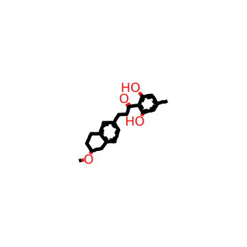 COC1CCc2cc(CCC(=O)c3c(O)cc(C)cc3O)ccc2C1